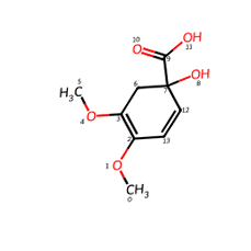 COC1=C(OC)CC(O)(C(=O)O)C=C1